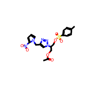 CC(=O)OCC(COS(=O)(=O)c1ccc(C)cc1)n1cc(Cn2cccc2[N+](=O)[O-])nn1